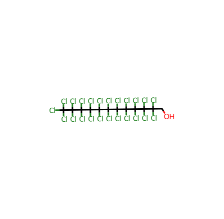 OCC(Cl)(Cl)C(Cl)(Cl)C(Cl)(Cl)C(Cl)(Cl)C(Cl)(Cl)C(Cl)(Cl)C(Cl)(Cl)C(Cl)(Cl)C(Cl)(Cl)C(Cl)(Cl)C(Cl)(Cl)Cl